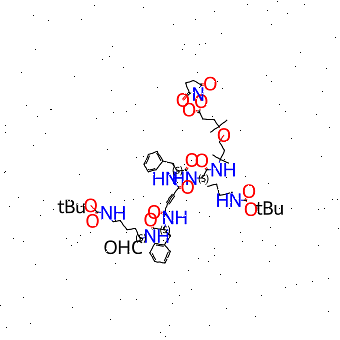 CC(C)(CCOC(C)(C)CCC(=O)ON1C(=O)CCC1=O)NC(=O)[C@H](CCCCNC(=O)OC(C)(C)C)NC(=O)[C@H](Cc1ccccc1)NC(=O)C#CC(=O)N[C@@H](Cc1ccccc1)C(=O)N[C@H](C=O)CCCCNC(=O)OC(C)(C)C